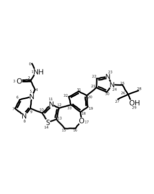 CNC(=O)Cn1ccnc1-c1nc2c(s1)CCOc1cc(-c3cnn(CC(C)(C)O)c3)ccc1-2